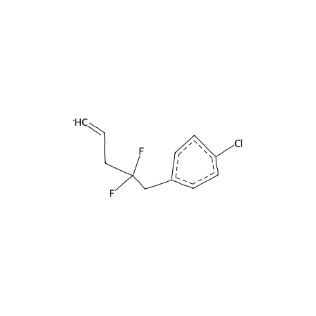 [CH]=CCC(F)(F)Cc1ccc(Cl)cc1